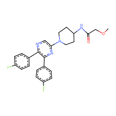 COCC(=O)NC1CCN(c2cnc(-c3ccc(F)cc3)c(-c3ccc(F)cc3)n2)CC1